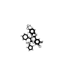 COc1ccc2nc(-c3ccc(Cl)c(F)c3)n(C(C(=O)NC3CCCC3)C3CCCCC3)c2c1